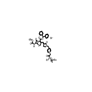 CCN(O[Si](C)(C)C(C)(C)C)C(=O)C[n+]1ccc(CN2CCC(=CC3=C(C(=O)OC(c4ccccc4)c4ccccc4)N4C(=O)C(NC(=O)OC(C)(C)C)C4SC3)C2=O)cc1.[Br-]